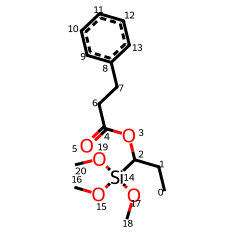 CCC(OC(=O)CCc1ccccc1)[Si](OC)(OC)OC